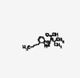 CCCCc1cccc2c1ncn2N(C(=O)O)C(C)C